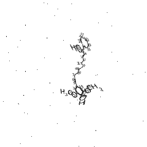 COc1cc(C#CCCCCCC/C=C/C(O)C2CCCCC2)cc(OC)c1O